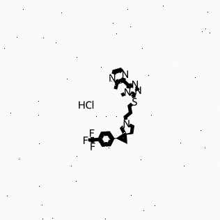 Cc1nccnc1-c1nnc(SCCCN2CC[C@]3(C[C@@H]3c3ccc(C(F)(F)F)cc3)C2)n1C.Cl